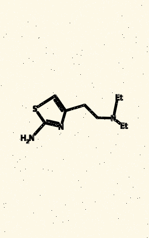 CCN(CC)CCc1csc(N)n1